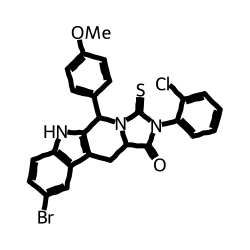 COc1ccc(C2c3[nH]c4ccc(Br)cc4c3CC3C(=O)N(c4ccccc4Cl)C(=S)N32)cc1